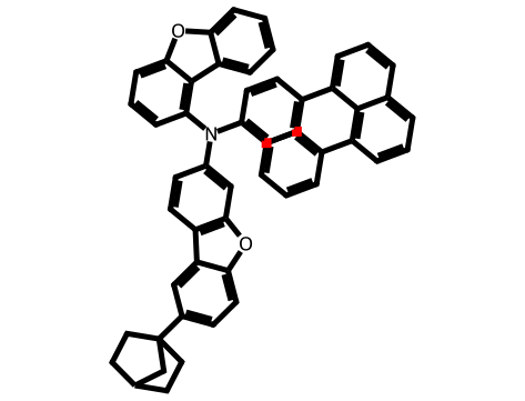 c1ccc(-c2cccc3cccc(-c4ccc(N(c5ccc6c(c5)oc5ccc(C78CCC(CC7)C8)cc56)c5cccc6oc7ccccc7c56)cc4)c23)cc1